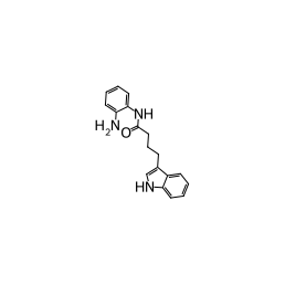 Nc1ccccc1NC(=O)CCCc1c[nH]c2ccccc12